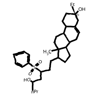 CCCC(O)CC(CCC1CCC2C3CC=C4C[C@](O)(CC)CCC4C3CCC12C)S(=O)(=O)c1ccccc1